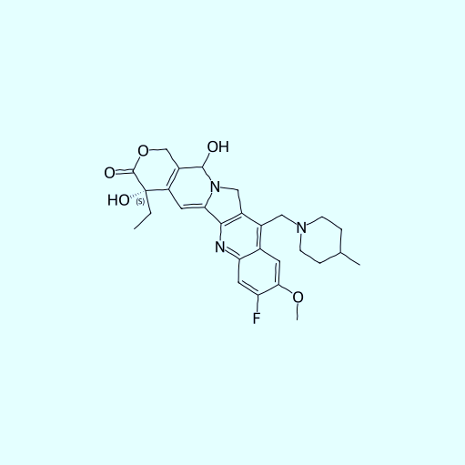 CC[C@@]1(O)C(=O)OCC2=C1C=C1c3nc4cc(F)c(OC)cc4c(CN4CCC(C)CC4)c3CN1C2O